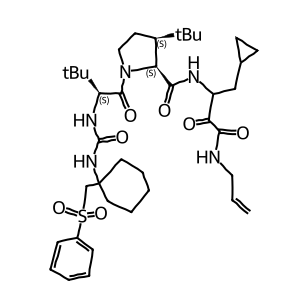 C=CCNC(=O)C(=O)C(CC1CC1)NC(=O)[C@@H]1[C@H](C(C)(C)C)CCN1C(=O)[C@@H](NC(=O)NC1(CS(=O)(=O)c2ccccc2)CCCCC1)C(C)(C)C